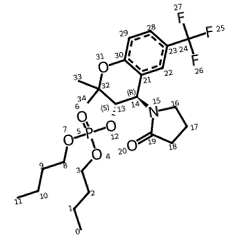 CCCCOP(=O)(OCCCC)O[C@H]1[C@H](N2CCCC2=O)c2cc(C(F)(F)F)ccc2OC1(C)C